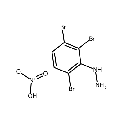 NNc1c(Br)ccc(Br)c1Br.O=[N+]([O-])O